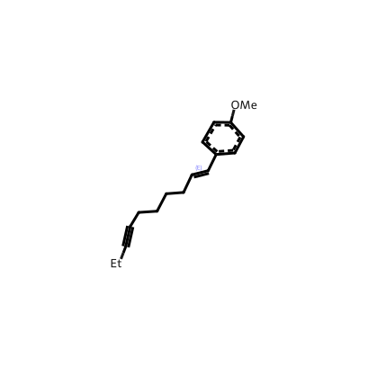 CCC#CCCCC/C=C/c1ccc(OC)cc1